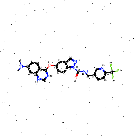 CN(C)c1ccc2c(Oc3ccc4c(cnn4C(=O)NCc4ccc(C(F)(F)F)nc4)c3)ncnc2c1